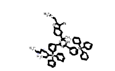 C=C=Cc1oc2ccc(C3(C)N=C(c4c#ccc(S(c5ccccc5)(c5ccccc5)C(C=C)/C=C\C=C/C)c4)N=C(c4cccc([Si](C5=CC=CCC5)(c5ccccc5)c5ccccc5)c4)N3)cc2c1CC